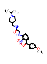 COc1ccc(C(=O)c2cccc(NCC(=O)NCC3CCN(C(C)C)CC3)c2[N+](=O)[O-])cc1